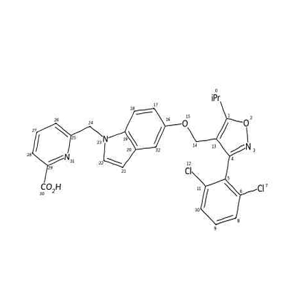 CC(C)c1onc(-c2c(Cl)cccc2Cl)c1COc1ccc2c(ccn2Cc2cccc(C(=O)O)n2)c1